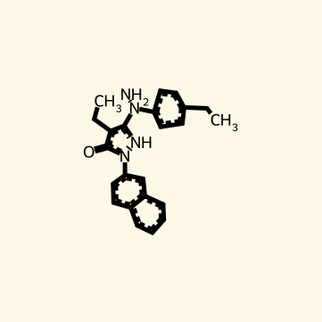 CCc1ccc(N(N)c2[nH]n(-c3ccc4ccccc4c3)c(=O)c2CC)cc1